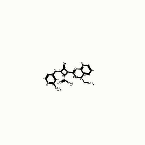 CC[C@@H](NC(=O)N1C(=O)[C@H](Cc2ccnc(N)c2)[C@H]1C(=O)O)c1cccnc1